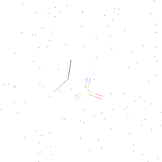 CCC.N=S(=O)=O